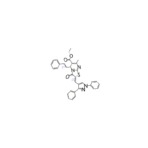 CCOC(=O)C1=C(C)N=c2s/c(=C\c3cn(-c4ccccc4)nc3-c3ccccc3)c(=O)n2C1/C=C/c1ccccc1